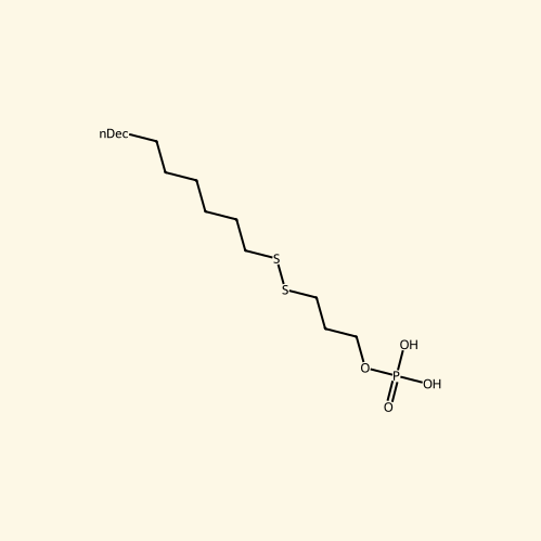 CCCCCCCCCCCCCCCCSSCCCOP(=O)(O)O